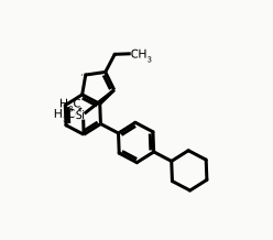 CCC1=C2c3c(ccc(c3-c3ccc(C4CCCCC4)cc3)[Si]2(C)C)[CH]1